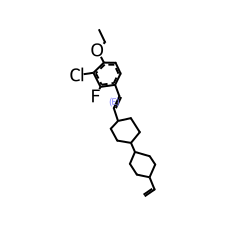 C=CC1CCC(C2CCC(/C=C/c3ccc(OCC)c(Cl)c3F)CC2)CC1